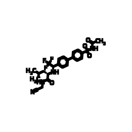 CC(=O)NS(=O)(=O)c1ccc(-c2ccc([C@H](N[C@@H](CC(C)C)C(=O)NCC#N)C(F)(F)F)cc2)cc1